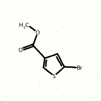 COC(=O)c1[c]sc(Br)c1